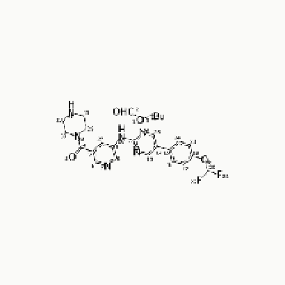 CC(C)(C)OC=O.O=C(c1cncc(Nc2ncc(-c3ccc(OC(F)F)cc3)cn2)c1)N1CCNCC1